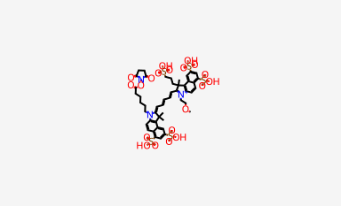 COCC[N+]1=C(/C=C/C=C/C=C2/N(CCCCCC(=O)ON3C(=O)CCC3=O)c3ccc4c(S(=O)(=O)O)cc(S(=O)(=O)O)cc4c3C2(C)C)C(C)(CCCS(=O)(=O)O)c2c1ccc1c(S(=O)(=O)O)cc(S(=O)(=O)O)cc21